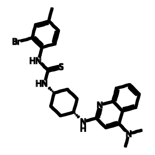 Cc1ccc(NC(=S)N[C@H]2CC[C@@H](Nc3cc(N(C)C)c4ccccc4n3)CC2)c(Br)c1